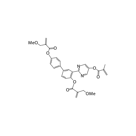 C=C(C)C(=O)Oc1cnc(-c2cc(-c3ccc(OC(=O)C(=C)COC)cc3)ccc2OC(=O)C(=C)COC)nc1